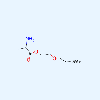 COCCOCCOC(=O)C(C)N